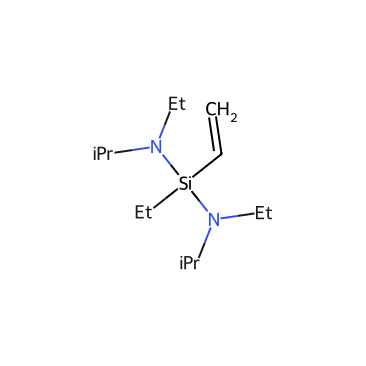 C=C[Si](CC)(N(CC)C(C)C)N(CC)C(C)C